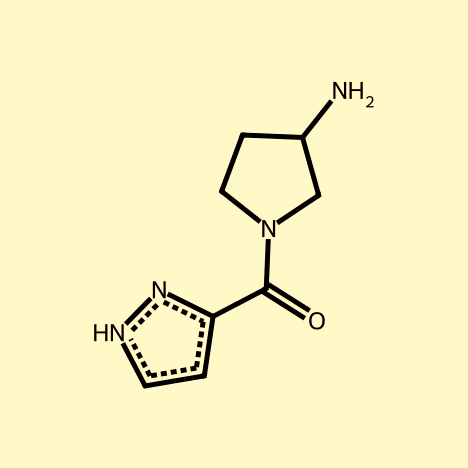 NC1CCN(C(=O)c2cc[nH]n2)C1